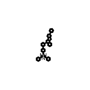 c1ccc(-c2ccc3c(c2)Cc2c-3cc(-c3cccc(-c4ccc(-c5nc(-c6ccccc6)nc(-c6ccccc6)n5)cc4)c3)c3ccccc23)cc1